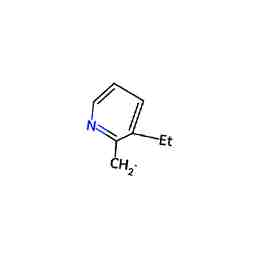 [CH2]c1ncccc1CC